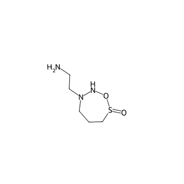 NCCN1CCCS(=O)ON1